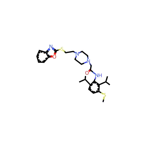 CSc1ccc(C(C)C)c(NC(=O)CN2CCN(CCSc3nc4ccccc4o3)CC2)c1C(C)C